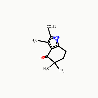 CCOC(=O)c1[nH]c2c(c1C)C(=O)C(C)(C)CC2